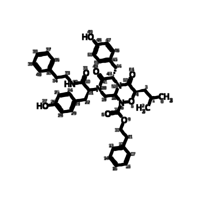 CC(C)C[C@H]1ON(C(=O)OCCc2ccccc2)C2CN([C@@H](Cc3ccc(O)cc3)C(=O)NCCc3ccccc3)C(=O)[C@H](Cc3ccc(O)cc3)N2C1=O